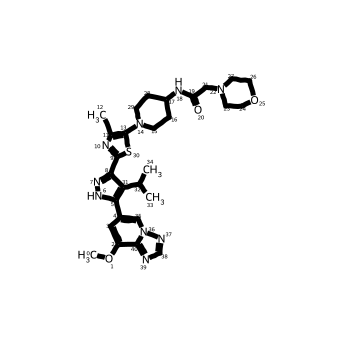 COc1cc(-c2[nH]nc(-c3nc(C)c(N4CCC(NC(=O)CN5CCOCC5)CC4)s3)c2C(C)C)cn2ncnc12